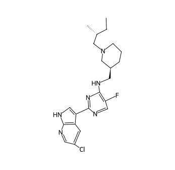 CC[C@@H](C)CN1CCC[C@@H](CNc2nc(-c3c[nH]c4ncc(Cl)cc34)ncc2F)C1